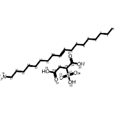 CCCCCCCCC=CCCCCCCCCN.O=C(O)CC(C(=O)O)S(=O)(=O)O